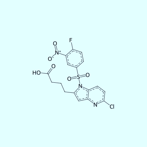 O=C(O)CCCc1cc2nc(Cl)ccc2n1S(=O)(=O)c1ccc(F)c([N+](=O)[O-])c1